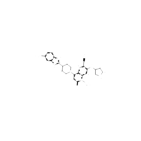 Cc1ccc2oc(C3CCN(c4cc(=O)n(C)c5cc(OC6CCOC6)c(C#N)nc45)CC3)nc2c1